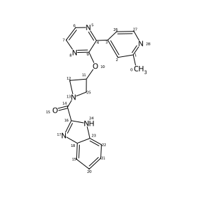 Cc1cc(-c2nccnc2OC2CN(C(=O)c3nc4ccccc4[nH]3)C2)ccn1